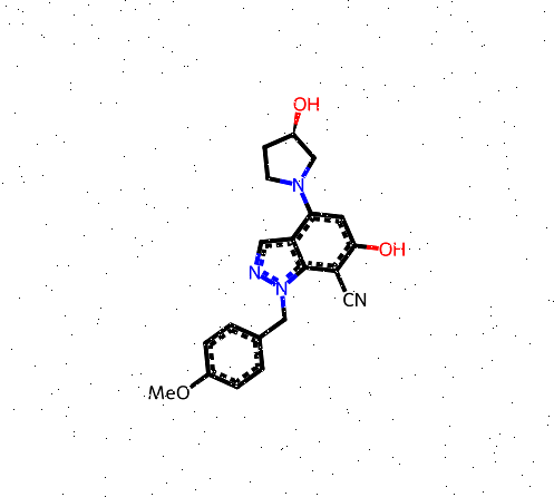 COc1ccc(Cn2ncc3c(N4CC[C@@H](O)C4)cc(O)c(C#N)c32)cc1